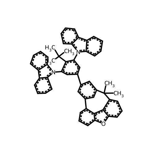 CC(C)(C)c1c(-n2c3ccccc3c3ccccc32)cc(-c2cc3cc(c2)C(C)(C)c2cccc4oc5cccc-3c5c24)cc1-n1c2ccccc2c2ccccc21